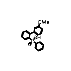 COc1cccc(-c2ccccc2P(=O)(O)c2ccccc2)c1